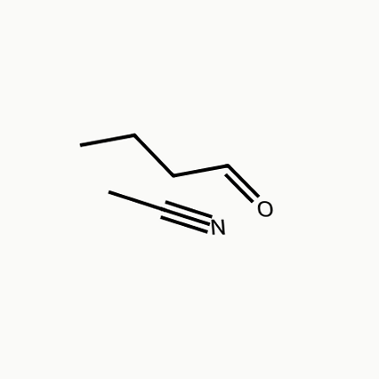 CC#N.CCCC=O